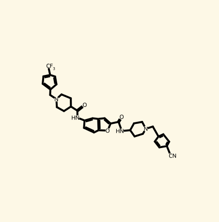 N#Cc1ccc(CN2CCC(NC(=O)c3cc4cc(NC(=O)C5CCN(Cc6ccc(C(F)(F)F)cc6)CC5)ccc4o3)CC2)cc1